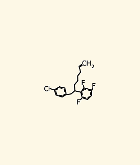 C=CCCCCC(Cc1ccc(Cl)cc1)c1c(F)ccc(F)c1F